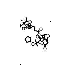 CC(OC(=O)CCC(=O)OC1C2OC(=O)C3C2OC1C3C(=O)OC(C)(C)OC1CCCC1)C(F)(F)S(=O)(=O)O